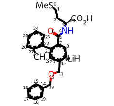 CSCC[C@H](NC(=O)c1ccc(COCc2ccccc2)cc1-c1ccccc1C)C(=O)O.[LiH]